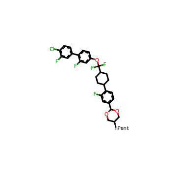 CCCCCC1COC(c2ccc(C3CCC(C(F)(F)Oc4ccc(-c5ccc(Cl)c(F)c5)c(F)c4)CC3)c(F)c2)OC1